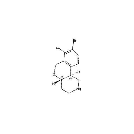 Clc1c(Br)ccc2c1CO[C@H]1CCNC[C@H]21